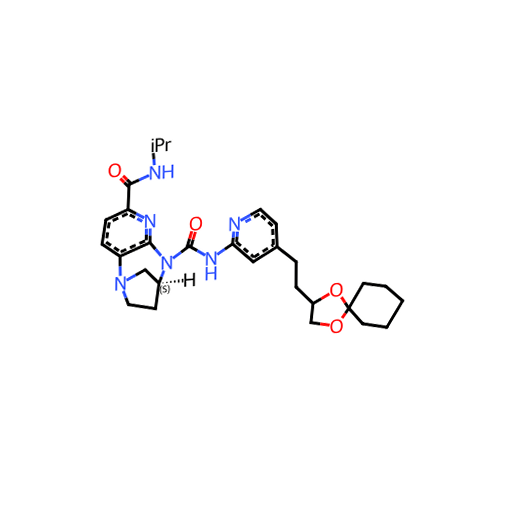 CC(C)NC(=O)c1ccc2c(n1)N(C(=O)Nc1cc(CCC3COC4(CCCCC4)O3)ccn1)[C@H]1CCN2C1